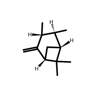 C=C1[C@H](C)[C@@H](C)[C@H]2C[C@@H]1C2(C)C